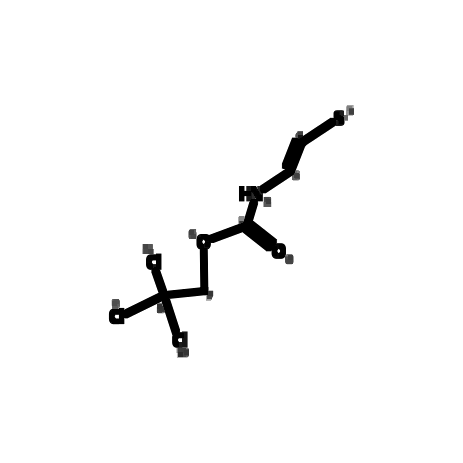 O=C(NC=C[S])OCC(Cl)(Cl)Cl